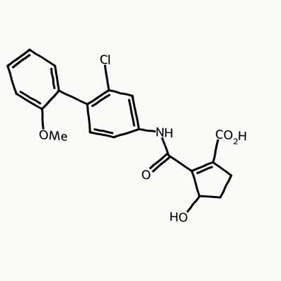 COc1ccccc1-c1ccc(NC(=O)C2=C(C(=O)O)CCC2O)cc1Cl